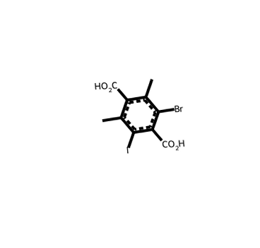 Cc1c(Br)c(C(=O)O)c(I)c(C)c1C(=O)O